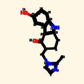 Cc1nccn1CC1CCc2[nH]c3ccc(O)cc3c2C1=O